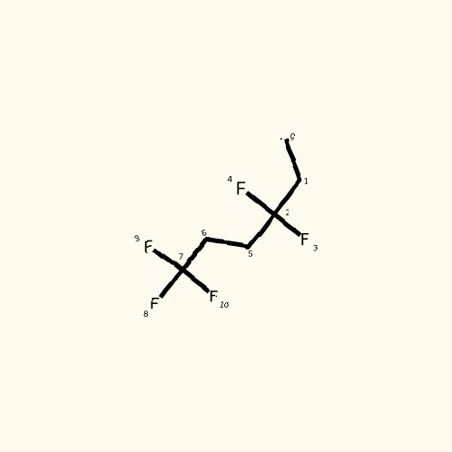 [CH2]CC(F)(F)CCC(F)(F)F